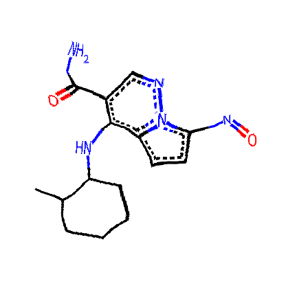 CC1CCCCC1Nc1c(C(N)=O)cnn2c(N=O)ccc12